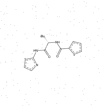 CCC(C)[C@H](NC(=O)c1cccs1)C(=O)Nc1nccs1